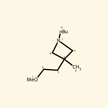 CCCCN1CC(C)(CCOC)C1